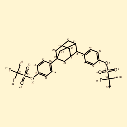 O=S(=O)(Oc1ccc(C2C3CC4CC2CC(c2ccc(OS(=O)(=O)C(F)(F)F)cc2)(C4)C3)cc1)C(F)(F)F